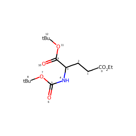 CCOC(=O)CCC(NC(=O)OC(C)(C)C)C(=O)OC(C)(C)C